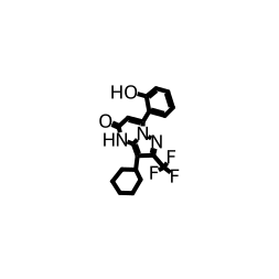 O=c1cc(-c2ccccc2O)n2nc(C(F)(F)F)c(C3CCCCC3)c2[nH]1